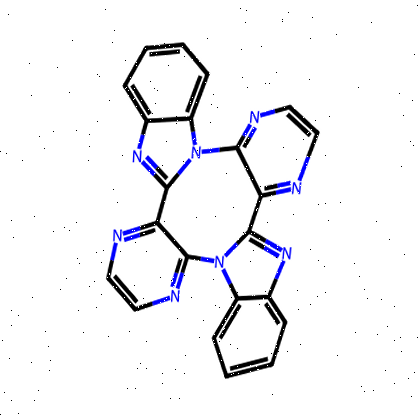 c1ccc2c(c1)nc1c3nccnc3n3c4ccccc4nc3c3nccnc3n21